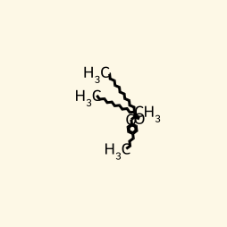 CCCCCCCCCCCCC(C)(CCCCCCCCCC)C(=O)Oc1ccc(CCCC)cc1